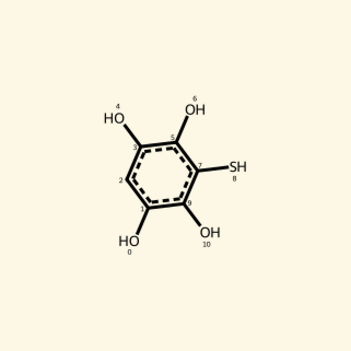 Oc1cc(O)c(O)c(S)c1O